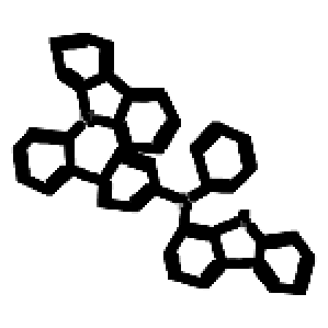 c1ccc(N(c2ccc(-c3ccccc3-n3c4ccccc4c4ccccc43)cc2)c2cccc3c2sc2ccccc23)cc1